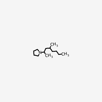 CCCCC(C)CC(C)N1CCCC1